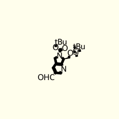 CC(C)(C)OC(=O)N1Cc2cc(C=O)cnc2[C@@H]1CO[Si](C)(C)C(C)(C)C